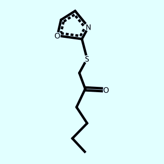 CCCCC(=O)CSc1ncco1